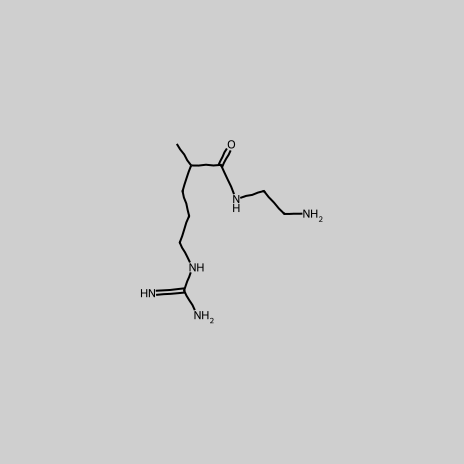 CC(CCCNC(=N)N)C(=O)NCCN